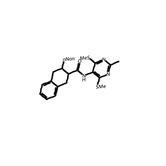 CCCCCCCCCC1Cc2ccccc2CC1C(=O)Nc1c(SC)nc(C)nc1SC